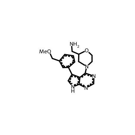 COCc1cccc(-c2c[nH]c3ncnc(N4CCOC(CN)C4)c23)c1